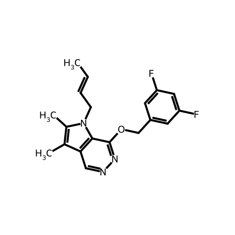 CC=CCn1c(C)c(C)c2cnnc(OCc3cc(F)cc(F)c3)c21